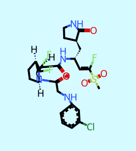 CS(=O)(=O)/C(F)=C/[C@@H](C[C@H]1CCNC1=O)NC(=O)[C@@H]1[C@@H]2CC[C@@H](CC2(F)F)N1C(=O)CNc1cccc(Cl)c1